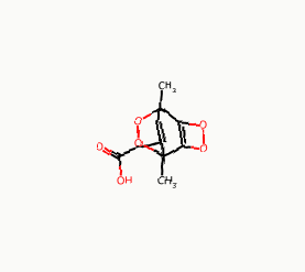 CC12C=C(C(=O)O)C(C)(OO1)c1ooc12